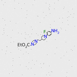 CCOC(=O)CN1CCN(CCC2CCN(c3ccc(N)cc3F)CC2)CC1